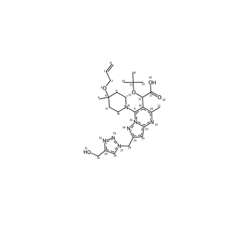 C=CCOC1(C)CCN(c2c(C(OC(C)(C)C)C(=O)O)c(C)nc3cc(Cn4cc(CO)nn4)nn23)CC1